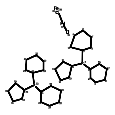 C1CCC(P(C2CCCCC2)C2CCCC2)CC1.C1CCC(P(C2CCCCC2)C2CCCC2)CC1.[Cl][Pd][Cl].[Fe]